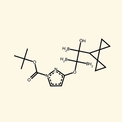 BC(B)(Oc1ccn(C(=O)OC(C)(C)C)n1)C(B)(O)C1C2(CC2)C12CC2